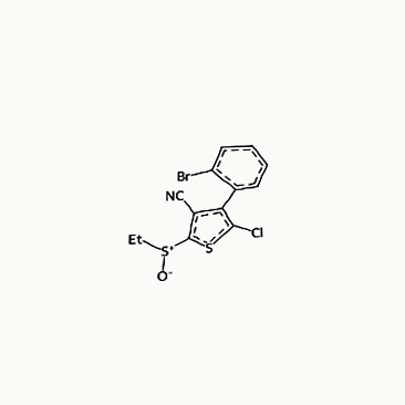 CC[S+]([O-])c1sc(Cl)c(-c2ccccc2Br)c1C#N